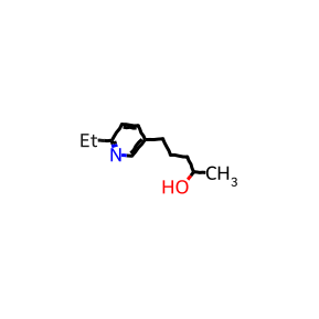 CCc1ccc(CCCC(C)O)cn1